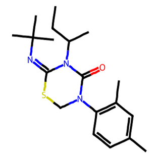 CCC(C)N1C(=O)N(c2ccc(C)cc2C)CSC1=NC(C)(C)C